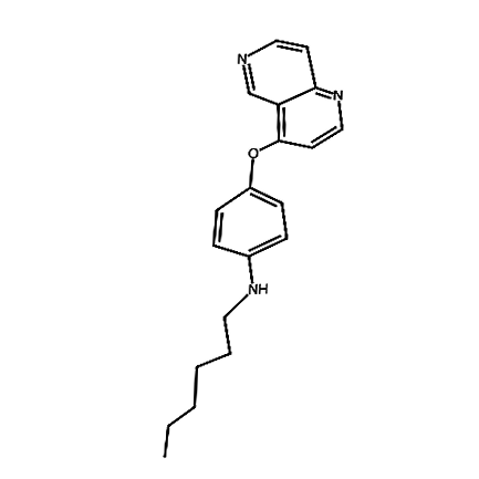 CCCCCCNc1ccc(Oc2ccnc3ccncc23)cc1